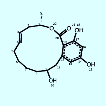 C[C@H]1C/C=C/CCCCC(O)Cc2cc(O)cc(O)c2C(=O)O1